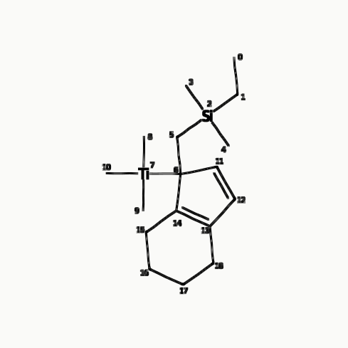 CC[Si](C)(C)C[C]1([Ti]([CH3])([CH3])[CH3])C=CC2=C1CCCC2